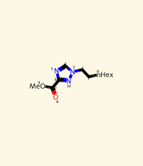 CCCCCCCCn1cnc(C(=O)OC)n1